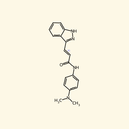 CN(C)c1ccc(NC(=O)/C=C/c2n[nH]c3ccccc23)cc1